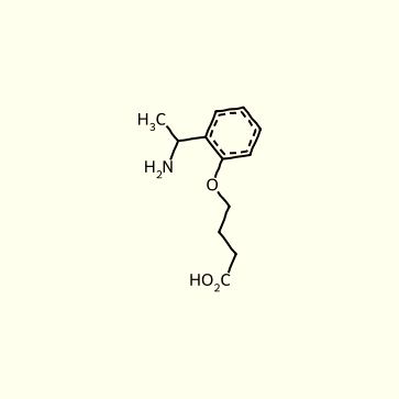 CC(N)c1ccccc1OCCCC(=O)O